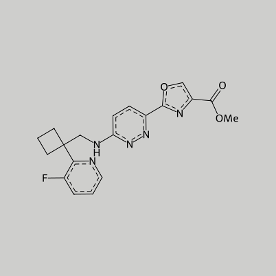 COC(=O)c1coc(-c2ccc(NCC3(c4ncccc4F)CCC3)nn2)n1